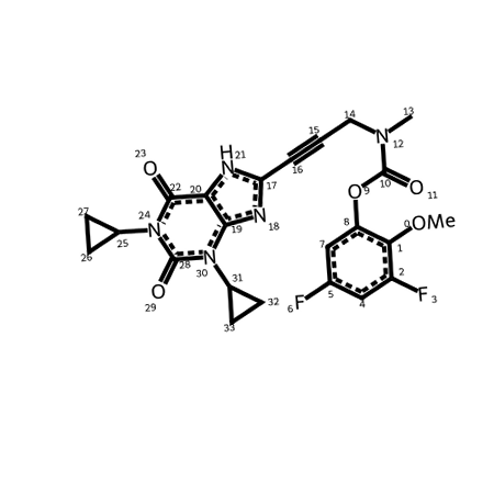 COc1c(F)cc(F)cc1OC(=O)N(C)CC#Cc1nc2c([nH]1)c(=O)n(C1CC1)c(=O)n2C1CC1